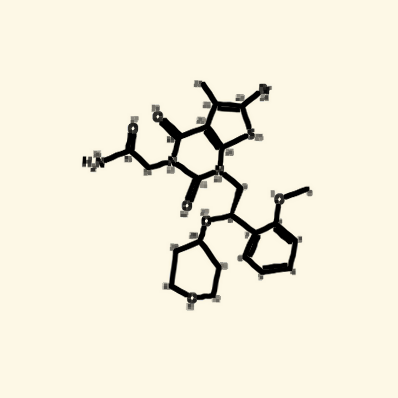 COc1ccccc1[C@H](Cn1c(=O)n(CC(N)=O)c(=O)c2c(C)c(Br)sc21)OC1CCOCC1